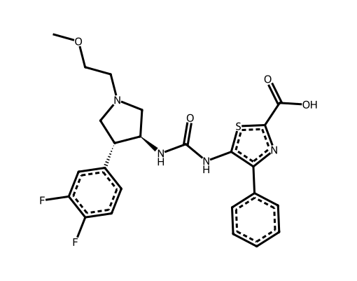 COCCN1C[C@@H](NC(=O)Nc2sc(C(=O)O)nc2-c2ccccc2)[C@H](c2ccc(F)c(F)c2)C1